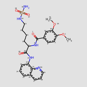 COc1ccc(C(=O)NC(CCCCNS(N)(=O)=O)C(=O)Nc2cccc3cccnc23)cc1OC